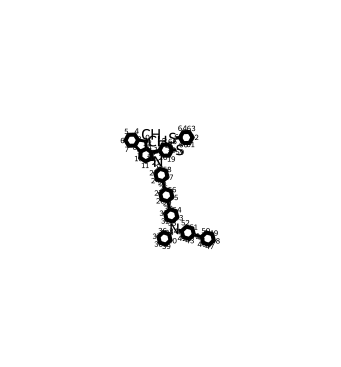 CC1(C)c2ccccc2-c2ccc3c(c21)c1cc2c(cc1n3-c1ccc(-c3ccc(-c4ccc(N(c5ccccc5)c5ccc(-c6ccccc6)cc5)cc4)cc3)cc1)Sc1ccccc1S2